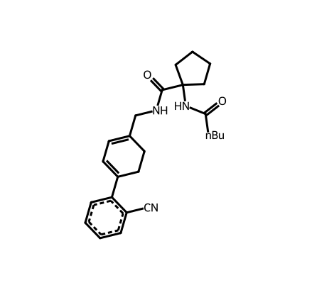 CCCCC(=O)NC1(C(=O)NCC2=CC=C(c3ccccc3C#N)CC2)CCCC1